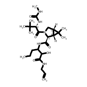 C=CCNC(=O)C(O)C(CCC)NC(=O)[C@@H]1[C@@H]2[C@H](CN1C(=O)[C@@H](NC(=O)NC)C(C)(C)C)C2(C)C